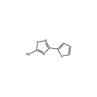 Sc1nc(-c2cccs2)ns1